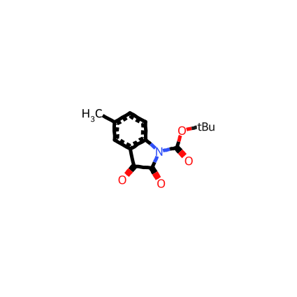 Cc1ccc2c(c1)C(=O)C(=O)N2C(=O)OC(C)(C)C